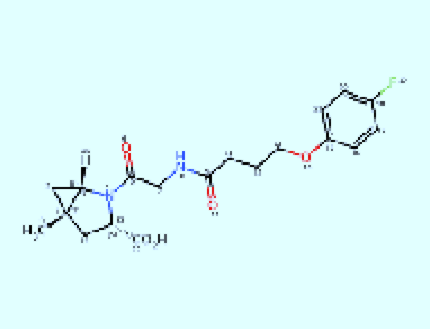 C[C@@]12C[C@@H]1N(C(=O)CNC(=O)CCCOc1ccc(F)cc1)[C@H](C(=O)O)C2